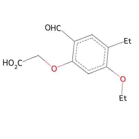 CCOc1cc(OCC(=O)O)c(C=O)cc1CC